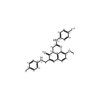 COc1ccc2cc(CNc3ccc(C)cc3)c(=O)n(CC(=O)Nc3ccc(F)cc3)c2c1